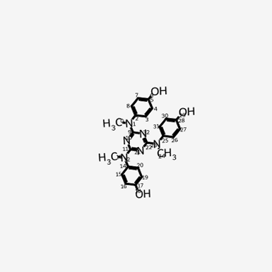 CN(c1ccc(O)cc1)c1nc(N(C)c2ccc(O)cc2)nc(N(C)c2ccc(O)cc2)n1